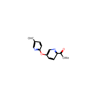 COC(=O)c1ccc(Oc2ccc(C=O)cn2)cn1